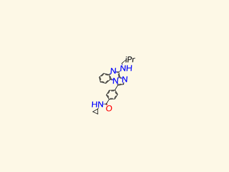 CC(C)CNc1nc2ccccc2n2c(-c3ccc(C(=O)NC4CC4)cc3)cnc12